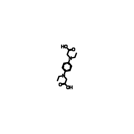 CCN(CC(=O)O)c1ccc(N(CC)CC(=O)O)cc1